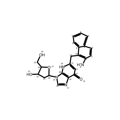 Nc1ccc2ccccc2c1Cc1cc(=O)c2ncn(C3CC(O)C(CO)O3)c2[nH]1